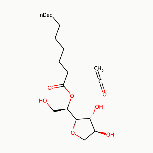 C=C=O.CCCCCCCCCCCCCCCC(=O)O[C@H](CO)[C@H]1OC[C@H](O)[C@H]1O